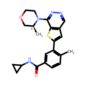 Cc1ccc(C(=O)NC2CC2)cc1-c1cc2cnnc(N3CCOC[C@@H]3C)c2s1